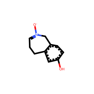 [O-][N+]1=CCCc2cc(O)ccc2C1